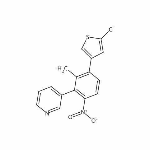 [CH2]c1c(-c2csc(Cl)c2)ccc([N+](=O)[O-])c1-c1cccnc1